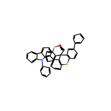 c1ccc(-c2ccc3c(c2)C2(c4ccccc4Sc4ccccc42)c2c(cccc2-c2cccc4c5ccccc5n(-c5ccccc5)c24)S3)cc1